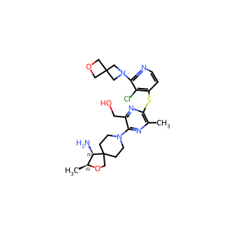 Cc1nc(N2CCC3(CC2)CO[C@@H](C)[C@H]3N)c(CO)nc1Sc1ccnc(N2CC3(COC3)C2)c1Cl